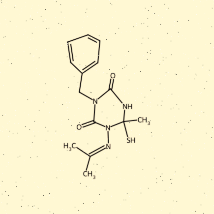 CC(C)=NN1C(=O)N(Cc2ccccc2)C(=O)NC1(C)S